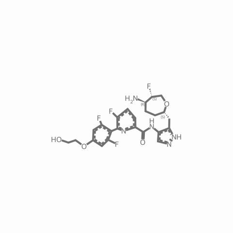 N[C@@H]1CC[C@@H](Cc2[nH]ncc2NC(=O)c2ccc(F)c(-c3c(F)cc(OCCO)cc3F)n2)OC[C@H]1F